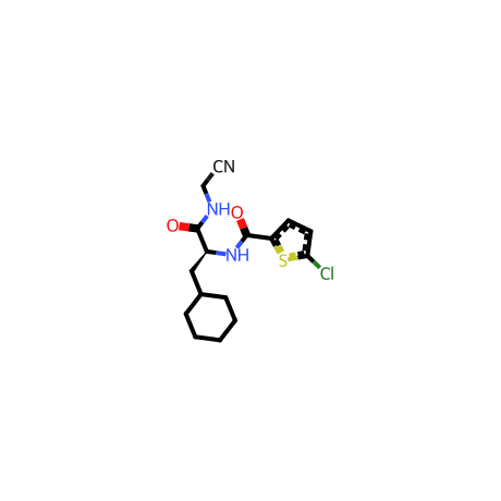 N#CCNC(=O)[C@H](CC1CCCCC1)NC(=O)c1ccc(Cl)s1